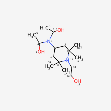 CC(O)N(C(C)O)C1CC(C)(C)N(CCO)C(C)(C)C1